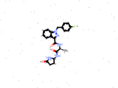 CC(C)(C)[C@H](NC(=O)c1nn(Cc2ccc(F)cc2)c2ccccc12)C(=O)NC1CCC(=O)N1